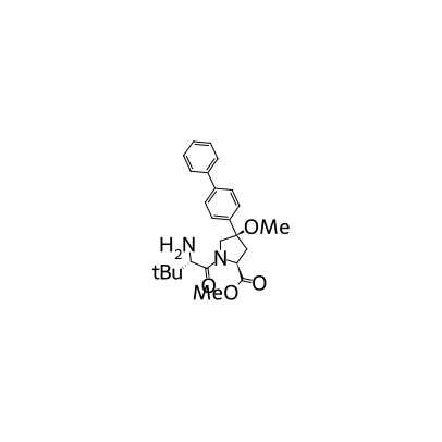 COC(=O)[C@@H]1C[C@@](OC)(c2ccc(-c3ccccc3)cc2)CN1C(=O)[C@@H](N)C(C)(C)C